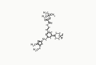 CCc1cc(SCc2cc(N3CCC(F)(F)CC3)cc(C=CCNC(=O)OC(C)(C)C)n2)nn1C